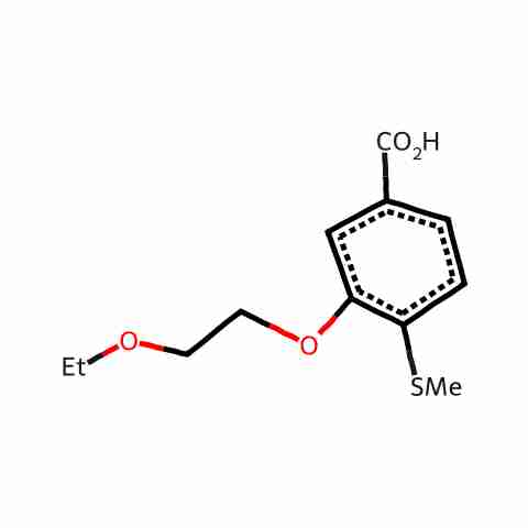 CCOCCOc1cc(C(=O)O)ccc1SC